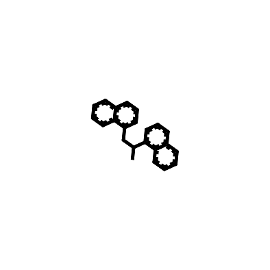 C[C](Cc1cccc2ccccc12)c1cccc2ccccc12